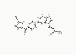 NC(=O)C=Cc1c[nH]c2ncc(-c3ccc(C(=O)c4cnc(F)s4)cc3)cc12